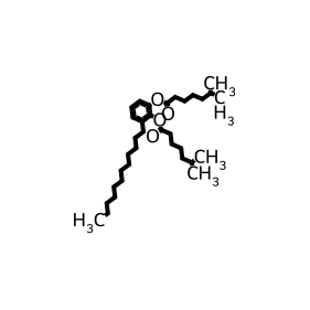 CCCCCCCCCCCCc1cccc(OC(=O)CCCCC(C)C)c1OC(=O)CCCCC(C)C